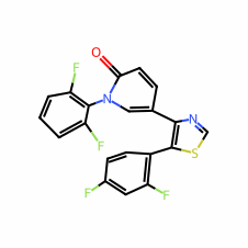 O=c1ccc(-c2ncsc2-c2ccc(F)cc2F)cn1-c1c(F)cccc1F